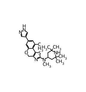 Cc1cc(-c2cn[nH]c2)cc2c1-c1sc(N(C)C3CC(C)(C)NC(C)(C)C3)nc1CO2